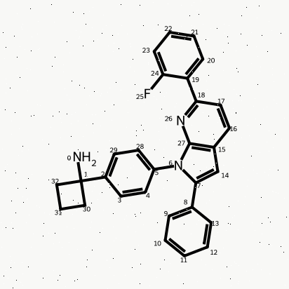 NC1(c2ccc(-n3c(-c4ccccc4)cc4ccc(-c5ccccc5F)nc43)cc2)CCC1